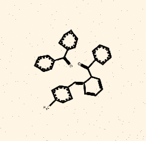 Cc1ccc(C=C2C=CC=CC2C(=O)c2ccccc2)cc1.O=C(c1ccccc1)c1ccccc1